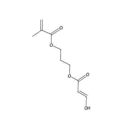 C=C(C)C(=O)OCCCOC(=O)C=CO